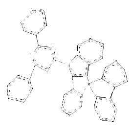 c1ccc(-c2cc(-n3c4c(c5ccccc53)C3(c5ccccc5-c5ccccc53)c3ccccc3-4)nc(-c3ccccc3)n2)cc1